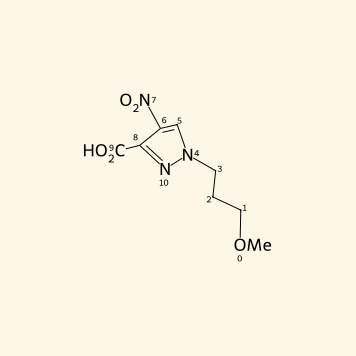 COCCCn1cc([N+](=O)[O-])c(C(=O)O)n1